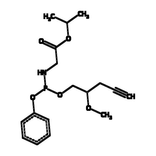 C#CCC(COP(NCC(=O)OC(C)C)Oc1ccccc1)OC